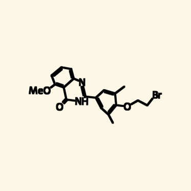 COc1cccc2nc(-c3cc(C)c(OCCBr)c(C)c3)[nH]c(=O)c12